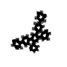 c1cncc(-c2cc(-c3cccnc3)c(-c3ccc(-c4cncnc4)cc3)cc2-c2ccc(-c3cncnc3)cc2)c1